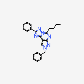 CCCCc1nc2nn(Cc3ccccc3)cc2c2nc(-c3ccccc3)nn12